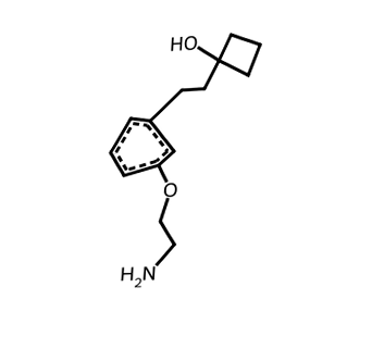 NCCOc1cccc(CCC2(O)CCC2)c1